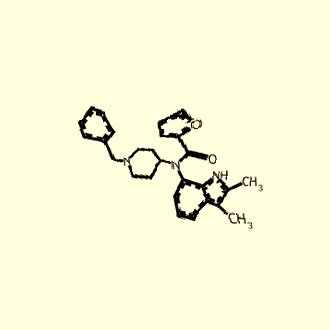 Cc1[nH]c2c(N(C(=O)c3ccco3)C3CCN(Cc4ccccc4)CC3)cccc2c1C